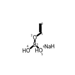 C=COB(O)O.[NaH]